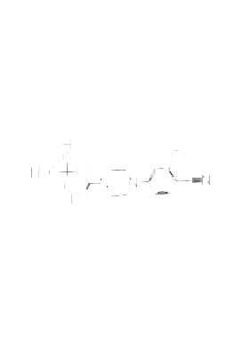 CC(C)(C)OC(=O)N1CCN(c2ccc(C#N)c(F)c2)CC1